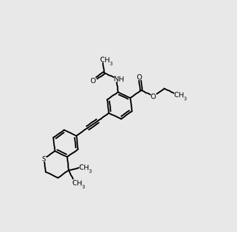 CCOC(=O)c1ccc(C#Cc2ccc3c(c2)C(C)(C)CCS3)cc1NC(C)=O